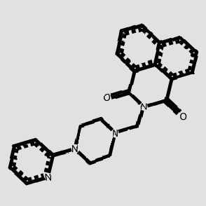 O=C1c2cccc3cccc(c23)C(=O)N1CN1CCN(c2ccccn2)CC1